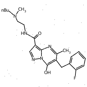 CCCCN(C)CCNC(=O)c1cnn2c(O)c(Cc3ccccc3F)c(C)nc12